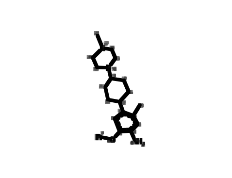 Cc1cc(N)c(OC(C)C)cc1C1CCC(N2CCN(C)CC2)CC1